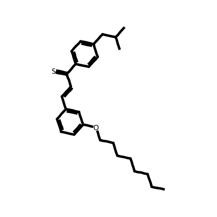 CCCCCCCCOc1cccc(C=CC(=S)c2ccc(CC(C)C)cc2)c1